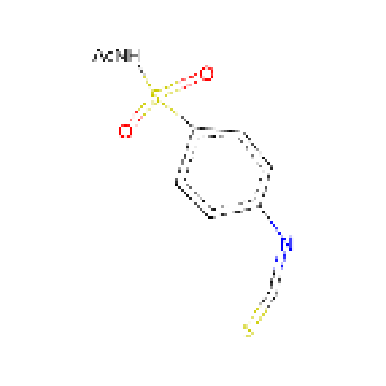 CC(=O)NS(=O)(=O)c1ccc(N=C=S)cc1